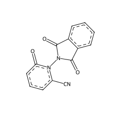 N#Cc1cccc(=O)n1N1C(=O)c2ccccc2C1=O